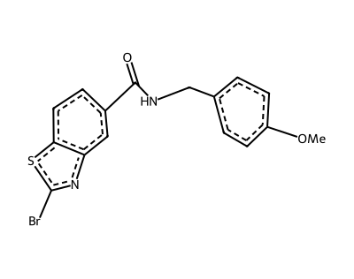 COc1ccc(CNC(=O)c2ccc3sc(Br)nc3c2)cc1